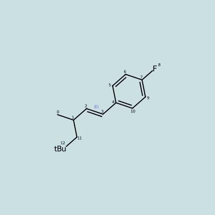 CC(/C=C/c1ccc(F)cc1)CC(C)(C)C